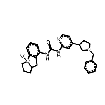 O=C(Nc1cc(C2CCN(Cc3ccccc3)C2)ccn1)Nc1cccc2c1CC1CCC[N+]21[O-]